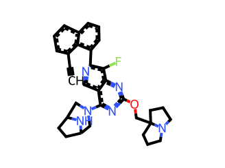 C#Cc1cccc2cccc(-c3ncc4c(N5CC6CCC(C5)N6)nc(OCC56CCCN5CCC6)nc4c3F)c12